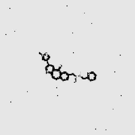 Cn1cc(-c2cnc3ccc4ccc(C[S+]([O-])NCc5ccccn5)cc4c(=O)c3c2)cn1